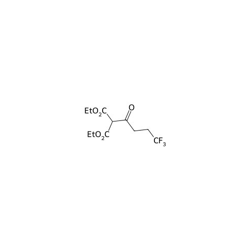 CCOC(=O)C(C(=O)CCC(F)(F)F)C(=O)OCC